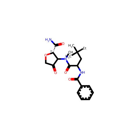 CCC(C)(C)CC(NC(=O)c1ccccc1)C(=O)N(C)C1C(=O)CO[C@@H]1C(N)=O